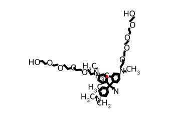 CCN(CCOCCOCCOCCOCCO)c1ccc(C(C#N)(c2ccc(N(C)C)cc2)c2ccc(N(CC)CCOCCOCCOCCOCCO)cc2C)c(C)c1